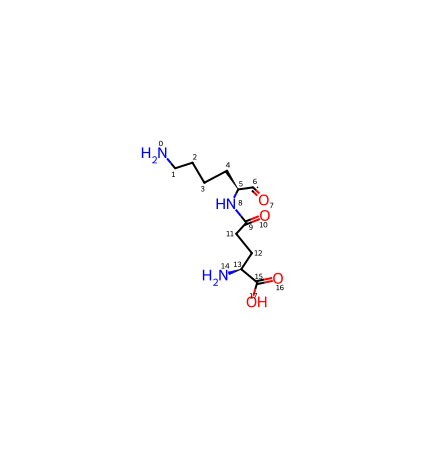 NCCCC[C@@H]([C]=O)NC(=O)CC[C@H](N)C(=O)O